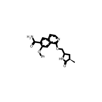 CC(C)Oc1cc2c(OCC3C[C@@H](C)C(=O)N3)nccc2cc1C(N)=O